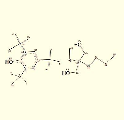 CC(C)(C)c1cc(C(C)(C)C)c(O)c(C(C)(C)C)c1.CCCCC(CC)(CO)CO